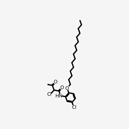 CCCCCCCCCCCCCCCCOc1ccc(Cl)cc1NC(=O)C(Cl)C(C)=O